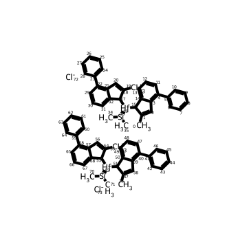 CC1=Cc2c(-c3ccccc3)cccc2[CH]1[Hf]([CH]1C(C)=Cc2c(-c3ccccc3)cccc21)=[Si](C)C.CC1=Cc2c(-c3ccccc3)cccc2[CH]1[Hf]([CH]1C(C)=Cc2c(-c3ccccc3)cccc21)=[Si](C)C.[Cl-].[Cl-]